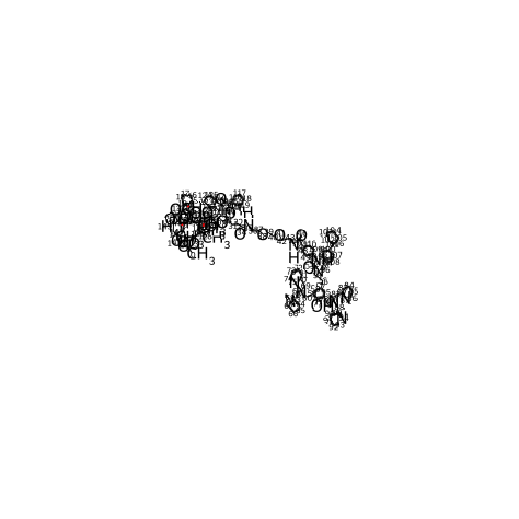 CC(=O)O[C@H]1C(=O)[C@@]2(C)[C@H]([C@H](OC(=O)c3ccccc3)[C@]3(O)C[C@H](OC(=O)[C@H](OC(=O)CCC(=O)NCCOCCOCCNC(=O)c4ccc(NC(=O)N(CCc5cc(CN(Cc6ccccn6)Cc6ccccn6)c(O)c(CN(Cc6ccccn6)Cc6ccccn6)c5)Cc5ccc(-c6ccccc6)cc5)cc4)[C@@H](NC(=O)c4ccccc4)c4ccccc4)C(C)=C1C3(C)C)[C@]1(OC(C)=O)CO[C@@H]1C[C@@H]2O